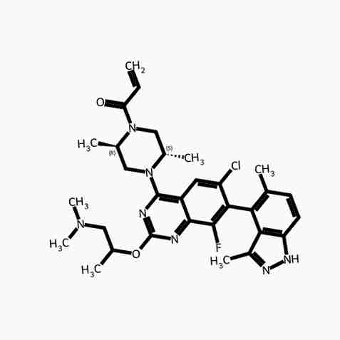 C=CC(=O)N1C[C@H](C)N(c2nc(OC(C)CN(C)C)nc3c(F)c(-c4c(C)ccc5[nH]nc(C)c45)c(Cl)cc23)C[C@H]1C